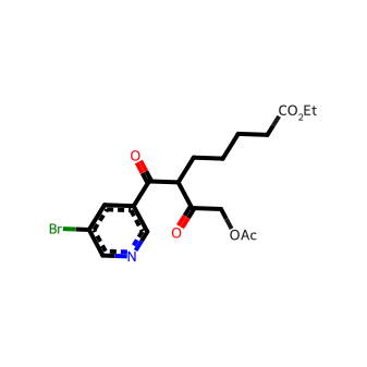 CCOC(=O)CCCCC(C(=O)COC(C)=O)C(=O)c1cncc(Br)c1